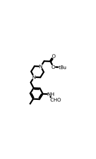 Cc1cc(CN2CCN(CC(=O)OC(C)(C)C)CC2)cc(NC=O)c1